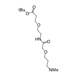 CNCCCOCC(=O)NCCOCCC(=O)OC(C)(C)C